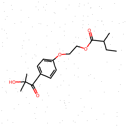 CCC(C)C(=O)OCCOc1ccc(C(=O)C(C)(C)O)cc1